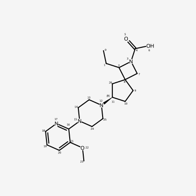 CCC1N(C(=O)O)CC12CC[C@@H](N1CCN(c3ncccc3OC)CC1)C2